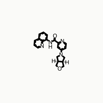 O=C(Nc1cccc2cccnc12)c1cc(N2C[C@H]3COC[C@H]3C2)ccn1